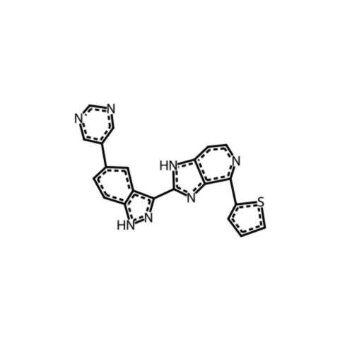 c1csc(-c2nccc3[nH]c(-c4n[nH]c5ccc(-c6cncnc6)cc45)nc23)c1